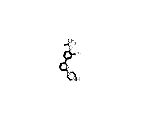 CC(C)c1cc(-c2cccc(N3CCNCC3)n2)ccc1OC(C)C(F)(F)F